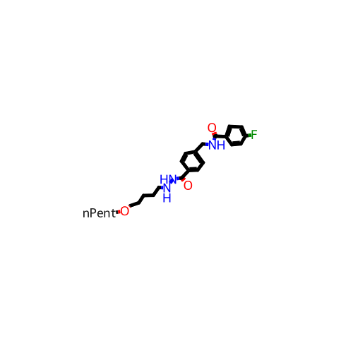 CCCCCOCCCCCNNC(=O)c1ccc(CNC(=O)c2ccc(F)cc2)cc1